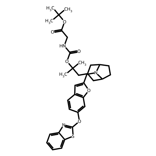 CC(C)(C)OC(=O)CNC(=O)OC(C)(C)CC1CC2CCC(C1)N2Cc1cc2ccc(Oc3nc4ccccc4s3)cc2o1